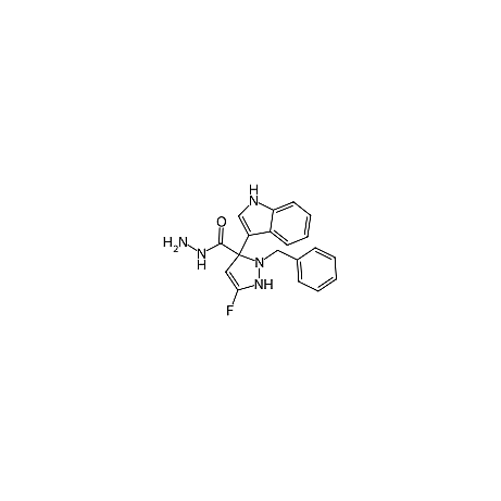 NNC(=O)C1(c2c[nH]c3ccccc23)C=C(F)NN1Cc1ccccc1